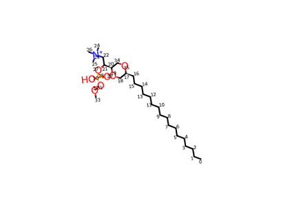 CCCCCCCCCCCCCCCCC[C@H]1CO[C@@H](C(C[N+](C)(C)C)OP(=O)(O)OOC)CO1